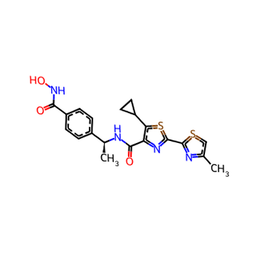 Cc1csc(-c2nc(C(=O)N[C@@H](C)c3ccc(C(=O)NO)cc3)c(C3CC3)s2)n1